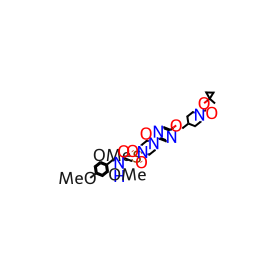 COc1cc(OC)c(CNC(=O)CS(=O)(=O)N2CCN(c3cnc(OCC4CCN(C(=O)OC5(C)CC5)CC4)cn3)C(=O)C2)c(OC)c1